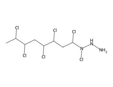 CC(Cl)C(Cl)CC(Cl)C(Cl)CC(Cl)N(Cl)NN